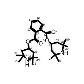 CC1(C)CC(OC(=O)c2ccccc2C(=O)OC2CC(C)(C)NC(C)(C)C2)CC(C)(C)N1